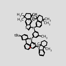 Cc1cc(N(c2cccc(N3c4ccccc4C4(C)CCCCC34C)c2)c2ccc(C(C)(C)C)cc2-c2ccccc2)cc(N(c2ccc3c(c2)C(C)(C)CCC3(C)C)c2csc3cc4c(cc23)C(C)(C)CCC4(C)C)c1